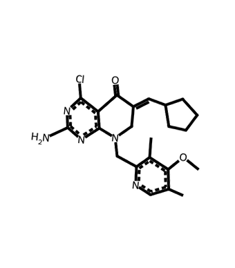 COc1c(C)cnc(CN2C/C(=C\C3CCCC3)C(=O)c3c(Cl)nc(N)nc32)c1C